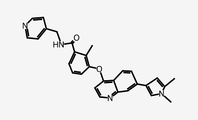 Cc1c(Oc2ccnc3cc(-c4cc(C)n(C)c4)ccc23)cccc1C(=O)NCc1ccncc1